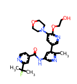 Cc1ncc(NC(=O)c2ccnc(C(C)(C)F)c2)cc1-c1cnc(OCCO)c(N2CCOCC2)c1